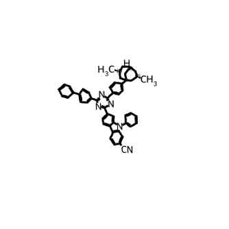 C[C@@H]1C[C@@H]2C[C@H](C)CC(c3ccc(-c4nc(-c5ccc(-c6ccccc6)cc5)nc(-c5ccc6c7ccc(C#N)cc7n(-c7ccccc7)c6c5)n4)cc3)(C1)C2